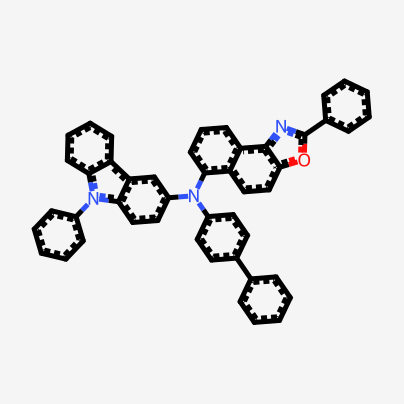 c1ccc(-c2ccc(N(c3ccc4c(c3)c3ccccc3n4-c3ccccc3)c3cccc4c3ccc3oc(-c5ccccc5)nc34)cc2)cc1